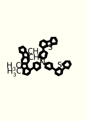 CC1(C)c2ccccc2-c2cc3c(cc21)-c1c(-c2ccc(N(c4ccc(-c5cccc6c5sc5ccccc56)cc4)c4ccc(-c5cccc6c5sc5ccccc56)cc4)cc2)cccc1C3(C)C